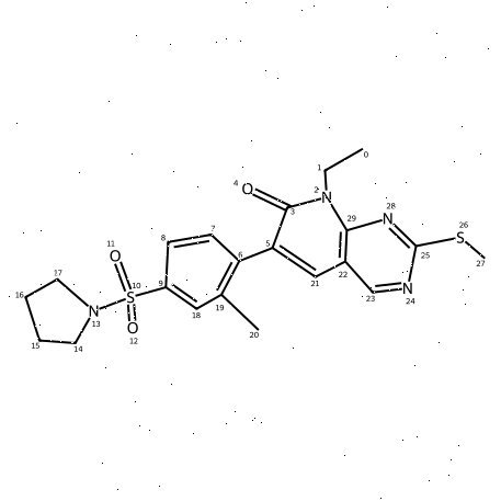 CCn1c(=O)c(-c2ccc(S(=O)(=O)N3CCCC3)cc2C)cc2cnc(SC)nc21